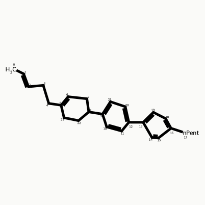 CC=CCCC1=CCC(c2ccc(-c3ccc(CCCCC)cc3)cc2)CC1